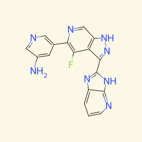 Nc1cncc(-c2ncc3[nH]nc(-c4nc5cccnc5[nH]4)c3c2F)c1